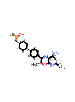 C=C/N=C1/O[C@H](C)C(c2ccc([C@H]3CC[C@H](CP(O)CC)CC3)cc2)=N/C1=C(/C)N